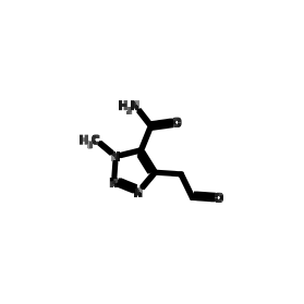 Cn1nnc(CC=O)c1C(N)=O